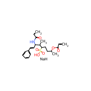 C=CC(=O)NC(C=Cc1ccccc1)C(C)C(CCC(C)OC(=O)C=C)S(=O)(=O)O.[NaH]